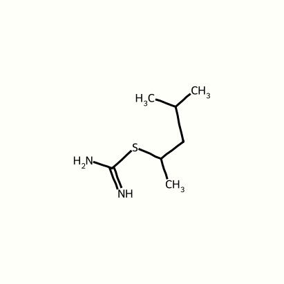 CC(C)CC(C)SC(=N)N